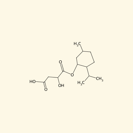 CC1CCC(C(C)C)C(OC(=O)C(O)CC(=O)O)C1